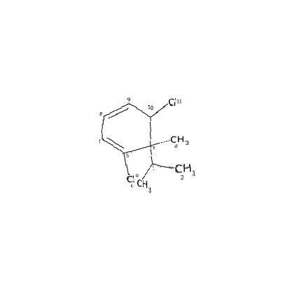 CC(C)C1(C)C(Cl)=CC=CC1Cl